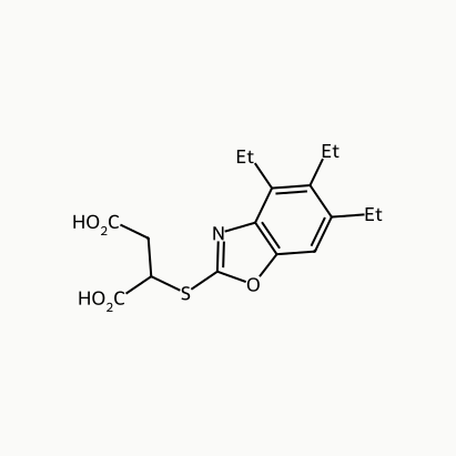 CCc1cc2oc(SC(CC(=O)O)C(=O)O)nc2c(CC)c1CC